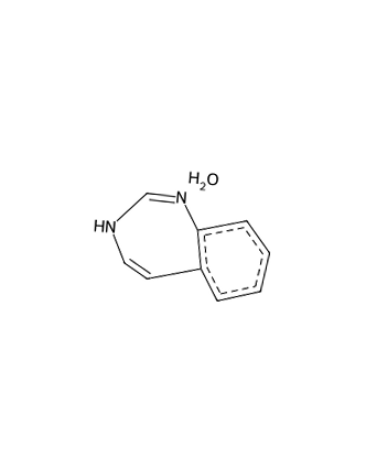 C1=Cc2ccccc2N=CN1.O